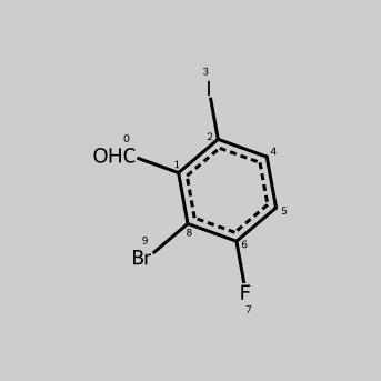 O=Cc1c(I)ccc(F)c1Br